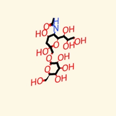 CC(=O)N[C@H]1[C@H]([C@H](O)[C@H](O)CO)O[C@](O)(COC2O[C@H](CO)[C@H](O)[C@H](O)[C@H]2O)C[C@@H]1O